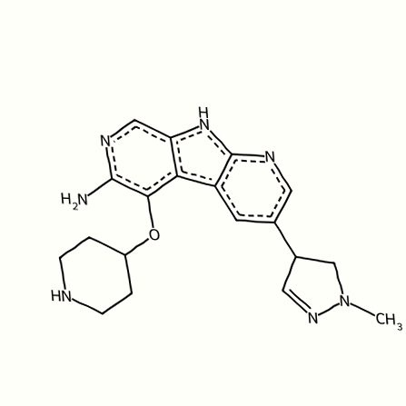 CN1CC(c2cnc3[nH]c4cnc(N)c(OC5CCNCC5)c4c3c2)C=N1